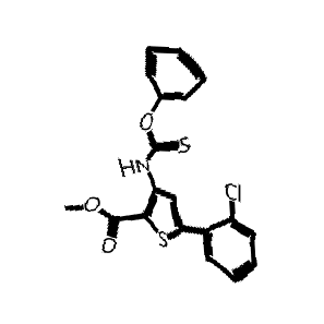 COC(=O)c1sc(-c2ccccc2Cl)cc1NC(=S)Oc1ccccc1